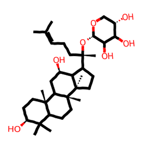 CC(C)=CCC[C@](C)(O[C@@H]1OC[C@H](O)C(O)C1O)C1CC[C@]2(C)C1[C@H](O)CC1[C@@]3(C)CC[C@H](O)C(C)(C)C3CC[C@]12C